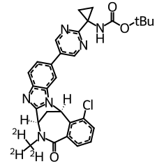 [2H]C([2H])([2H])N1C(=O)c2cccc(Cl)c2[C@H]2C[C@@H]1c1nc3ccc(-c4cnc(C5(NC(=O)OC(C)(C)C)CC5)nc4)cc3n12